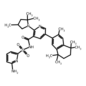 Cc1cc2c(cc1-c1cnc(N3CC(C)CC3(C)C)c(C(=O)NS(=O)(=O)c3cccc(N)n3)c1)C(C)(C)CCC2(C)C